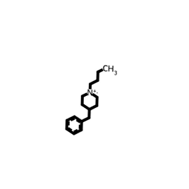 CCCC[N+]1CCC(Cc2ccccc2)CC1